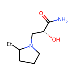 CCC1CCCN1C[C@@H](O)C(N)=O